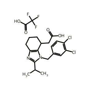 CC(C)c1nc2c(n1Cc1ccc(Cl)c(Cl)c1)C(CC(=O)O)CCC2.O=C(O)C(F)(F)F